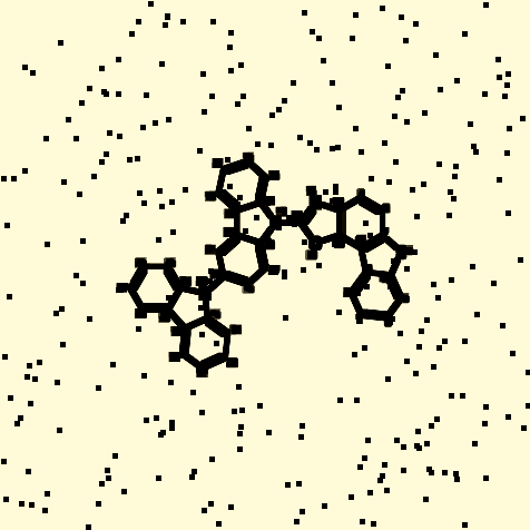 c1ccc2c(c1)sc1ccc3nc(-n4c5ccccc5c5cc(-n6c7ccccc7c7ccccc76)ccc54)oc3c12